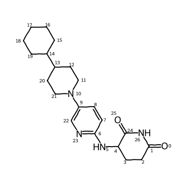 O=C1CCC(Nc2ccc(N3CCC(C4CCCCC4)CC3)cn2)C(=O)N1